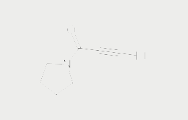 [CH2]CC#CC(=O)N1CCCC1